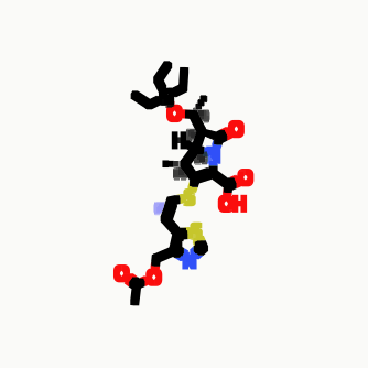 CC[Si](CC)(CC)O[C@H](C)[C@H]1C(=O)N2C(C(=O)O)=C(S/C=C\c3scnc3COC(C)=O)[C@H](C)[C@H]12